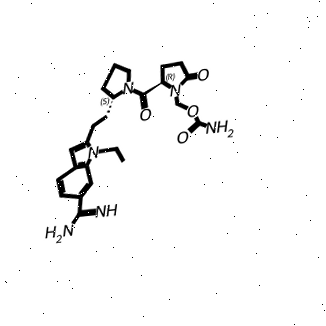 CCn1c(CC[C@@H]2CCCN2C(=O)[C@H]2CCC(=O)N2COC(N)=O)cc2ccc(C(=N)N)cc21